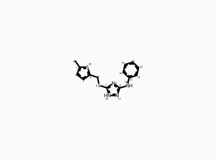 Cc1ccc(CSc2nc(Nc3ccccc3)n[nH]2)s1